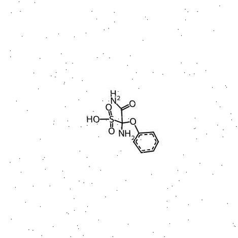 NC(=O)C(N)(Oc1ccccc1)S(=O)(=O)O